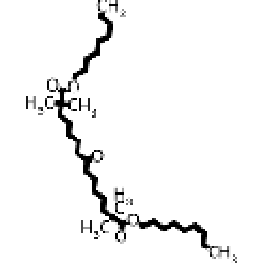 CC/C=C\CCCCCOC(=O)C(C)(C)CCCCCC(=O)CCCCCC(C)(C)C(=O)OCCCCC/C=C\CC